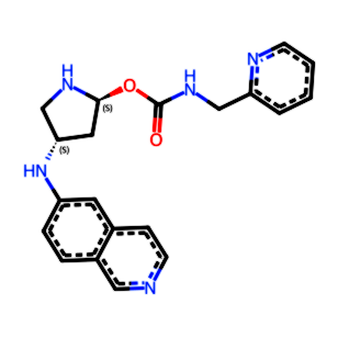 O=C(NCc1ccccn1)O[C@H]1C[C@H](Nc2ccc3cnccc3c2)CN1